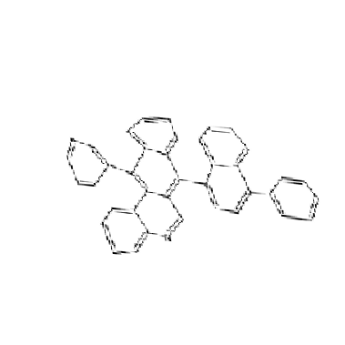 c1ccc(-c2ccc(-c3c4ccccc4c(-c4ccccc4)c4c3cnc3ccccc34)c3ccccc23)cc1